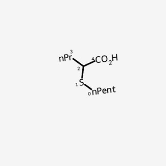 CCCCCSC(CCC)C(=O)O